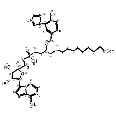 CCCCCCCCCCCCCCCCCCOC[C@H](COP(=O)(O)O[C@@H](C)[C@@]1(C)O[C@@H](c2ccc3c(N)ncnn23)[C@H](O)[C@@H]1O)OCc1ccc(C#N)c(-n2cncn2)c1